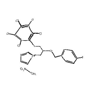 Fc1ccc(COC(CSc2c(Cl)c(Cl)c(Cl)c(Cl)c2Cl)Cn2ccnc2)cc1.O=[N+]([O-])O